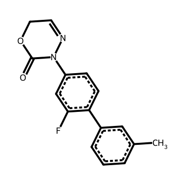 Cc1cccc(-c2ccc(N3N=CCOC3=O)cc2F)c1